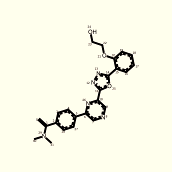 C=C(c1ccc(-c2cncc(-c3nnc(-c4ccccc4OCCO)o3)n2)cc1)N(C)C